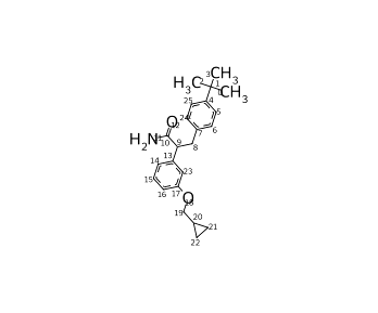 CC(C)(C)c1ccc(CC(C(N)=O)c2cccc(OCC3CC3)c2)cc1